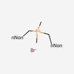 CCCCCCCCCC[P+](C)(C)CCCCCCCCCC.[Br-]